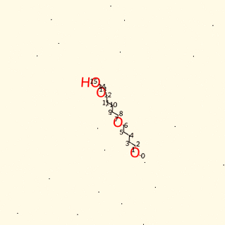 COCCCCCOCCCCCOCO